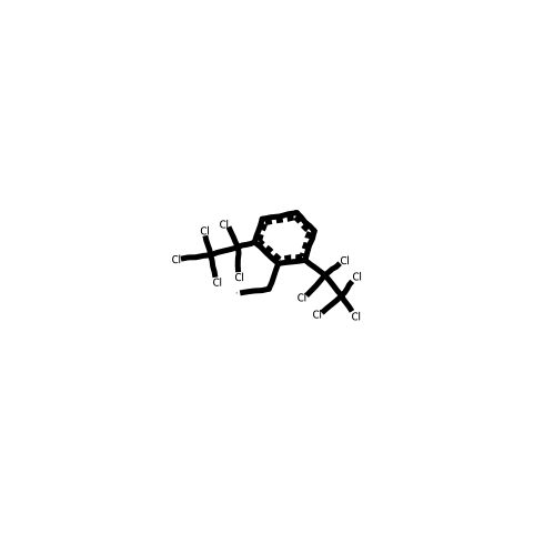 [CH2]Cc1c(C(Cl)(Cl)C(Cl)(Cl)Cl)cccc1C(Cl)(Cl)C(Cl)(Cl)Cl